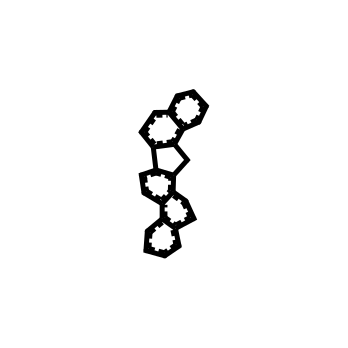 c1ccc2c3c(ccc2c1)-c1ccc2c(ccc4ccccc42)c1C3